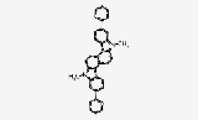 Cn1c2cc(-c3ccccn3)ccc2c2c3ccc4c(c3ccc21)c1ccc(-c2ccccn2)cc1n4C